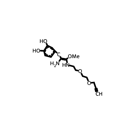 C#CCOCCOCCN/C(OC)=C(\N)Cc1ccc(O)c(O)c1